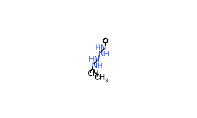 CCCCC(CC)CNCCNCCNCCNCc1ccccc1